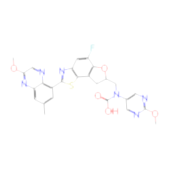 COc1cnc2c(-c3nc4cc(F)c5c(c4s3)CC(CN(C(=O)O)c3cnc(OC)nc3)O5)cc(C)cc2n1